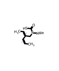 C/C=C\C(=C/C)CN(NC)C(=O)S